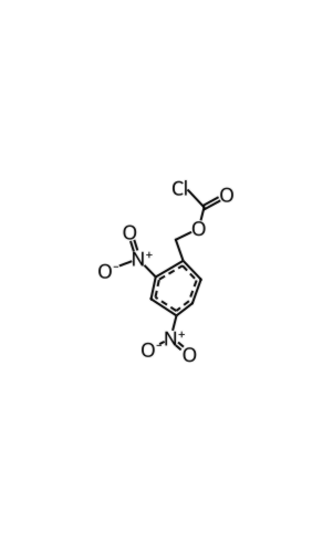 O=C(Cl)OCc1ccc([N+](=O)[O-])cc1[N+](=O)[O-]